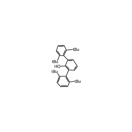 CC(C)(C)c1cccc(C(C)(C)C)c1-c1cccc(-c2c(C(C)(C)C)cccc2C(C)(C)C)c1O